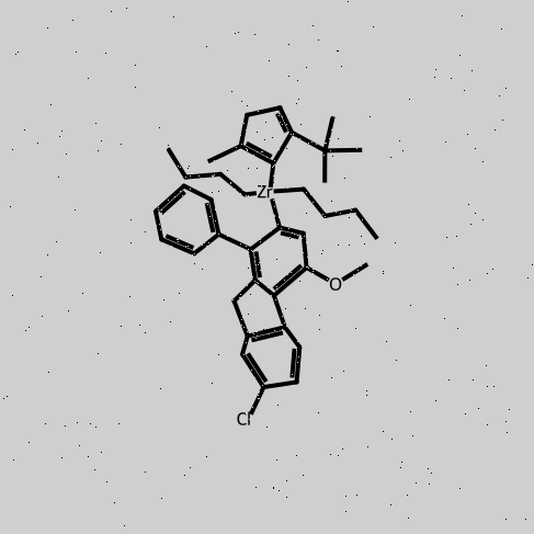 CCC[CH2][Zr]([CH2]CCC)([C]1=C(C)CC=C1C(C)(C)C)[c]1cc(OC)c2c(c1-c1ccccc1)Cc1cc(Cl)ccc1-2